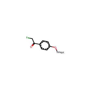 CCCCCCCOc1ccc(C(=O)CF)cc1